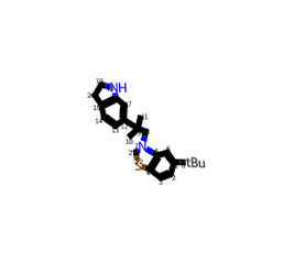 CC(C)(C)c1ccc2c(c1)N(CC(C)(C)c1ccc3c(c1)NCC3)CS2